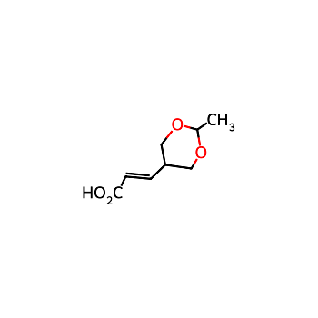 CC1OCC(C=CC(=O)O)CO1